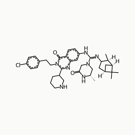 C[C@@H]1C(/N=C(/Nc2ccc3c(=O)n(CCc4ccc(Cl)cc4)c(C4CCCNC4)nc3c2)N2CC(=O)N[C@@H](C)C2)C[C@H]2C[C@@H]1C2(C)C